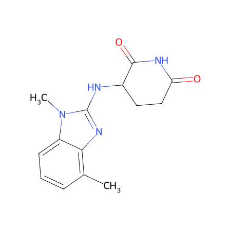 Cc1cccc2c1nc(NC1CCC(=O)NC1=O)n2C